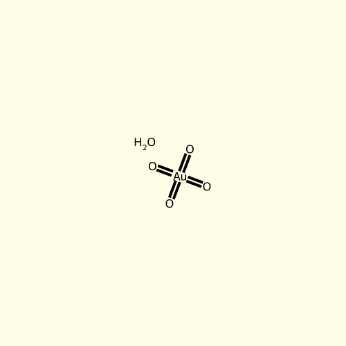 O.[O]=[Au](=[O])(=[O])=[O]